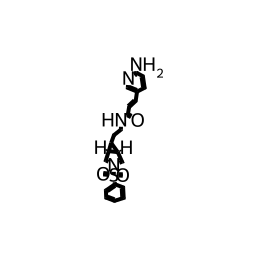 Nc1ccc(/C=C/C(=O)NCCC2[C@H]3CN(S(=O)(=O)c4ccccc4)C[C@@H]23)cn1